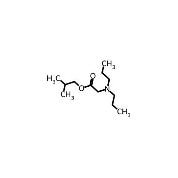 CCCN(CCC)CC(=O)OCC(C)C